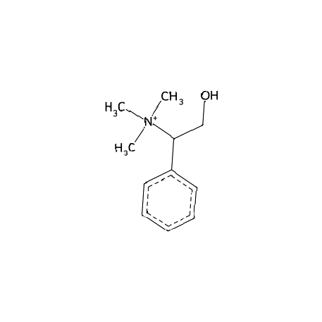 C[N+](C)(C)C(CO)c1ccccc1